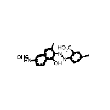 Cc1ccc(N=Nc2c(C)cc3cc(NC=O)ccc3c2O)c(C(=O)O)c1